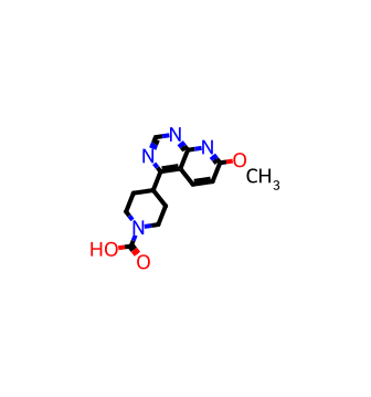 COc1ccc2c(C3CCN(C(=O)O)CC3)ncnc2n1